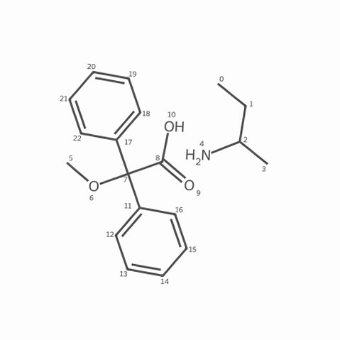 CCC(C)N.COC(C(=O)O)(c1ccccc1)c1ccccc1